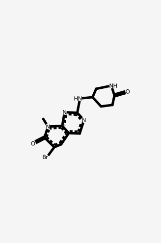 Cn1c(=O)c(Br)cc2cnc(NC3CCC(=O)NC3)nc21